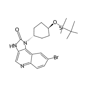 CC(C)(C)[Si](C)(C)O[C@H]1CC[C@H](n2c(=O)[nH]c3cnc4ccc(Br)cc4c32)CC1